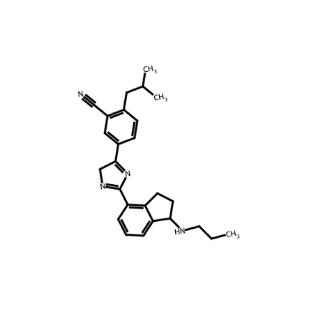 CCCNC1CCc2c(C3=NCC(c4ccc(CC(C)C)c(C#N)c4)=N3)cccc21